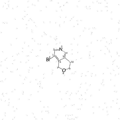 Brc1cncc2c1COCC2